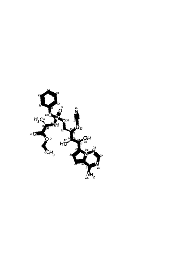 CCOC(=O)[C@H](C)NP(=O)(OC[C@@H](OC#N)[C@@H](O)[C@@H](O)c1ccc2c(N)ncnn12)Oc1ccccc1